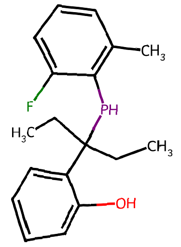 CCC(CC)(Pc1c(C)cccc1F)c1ccccc1O